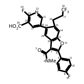 CNC(=O)c1c(-c2ccc(F)cc2)oc2cc(CCC(F)(F)F)c(-c3cnc(F)c(C(=O)O)c3)cc12